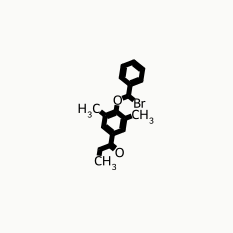 CCC(=O)c1cc(C)c(OC(Br)c2ccccc2)c(C)c1